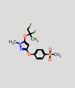 Cn1nc(Oc2ccc(S(C)(=O)=O)cc2)cc1OC(C)(F)CF